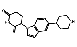 O=C1CCC(n2ccc3cc(C4CCNCC4)ccc32)C(=O)N1